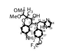 COC(OC)[C@@]1(C)Oc2ccc(N)cc2[C@H](N(Cc2ncc[nH]2)c2ccc(OC(F)(F)F)cc2)[C@H]1O